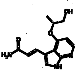 CC(CO)Oc1ccnc2[nH]cc(C=CC(N)=O)c12